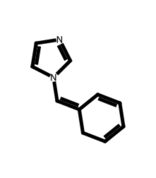 C1=CCC(=Cn2ccnc2)C=C1